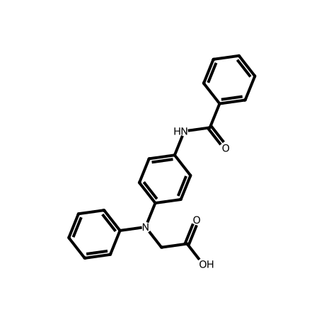 O=C(O)CN(c1ccccc1)c1ccc(NC(=O)c2ccccc2)cc1